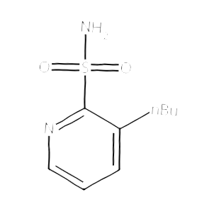 CCCCc1cccnc1S(N)(=O)=O